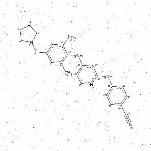 Cc1cc(CN2CCSC2)cc(C)c1Nc1ccnc(Nc2ccc(C#N)cc2)n1